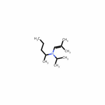 CCCC(C)N(C=C(C)C)C(C)C